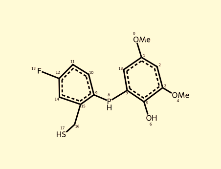 COc1cc(OC)c(O)c(Pc2ccc(F)cc2CS)c1